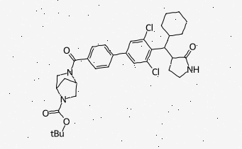 CC(C)(C)OC(=O)N1CC2CC1CN2C(=O)c1ccc(-c2cc(Cl)c(C(C3CCCCC3)C3CCNC3=O)c(Cl)c2)cc1